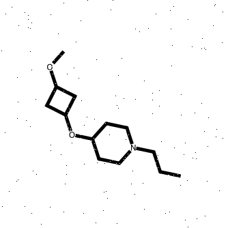 CCCN1CCC(OC2CC(OC)C2)CC1